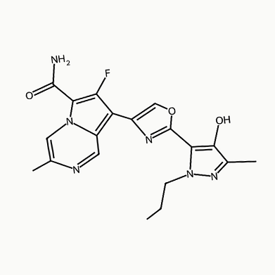 CCCn1nc(C)c(O)c1-c1nc(-c2c(F)c(C(N)=O)n3cc(C)ncc23)co1